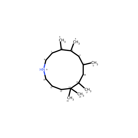 CC1CC(C)C(C)CCNCCCC(C)(C)C(C)C1